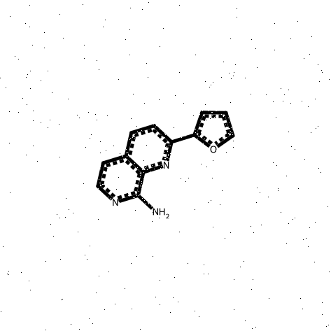 Nc1nccc2ccc(-c3ccco3)nc12